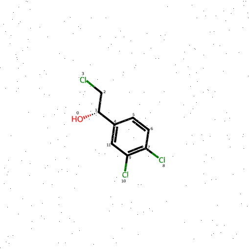 O[C@H](CCl)c1ccc(Cl)c(Cl)c1